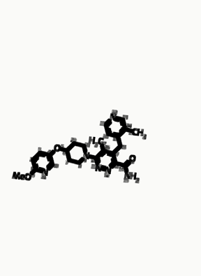 COc1ccc(OC2CCN(c3nnc(C(N)=O)c(Cc4ccncc4C)c3C)CC2)cn1